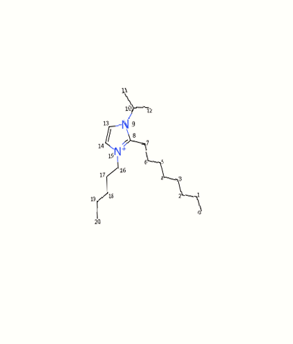 CCCCCCCCc1n(C(C)C)cc[n+]1CCCCC